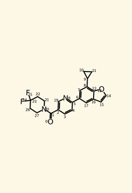 O=C(c1ccc(-c2cc(C3CC3)c3occc3c2)nc1)N1CCC(F)(F)CC1